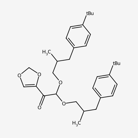 CC(COC(OCC(C)Cc1ccc(C(C)(C)C)cc1)C(=O)C1=COCO1)Cc1ccc(C(C)(C)C)cc1